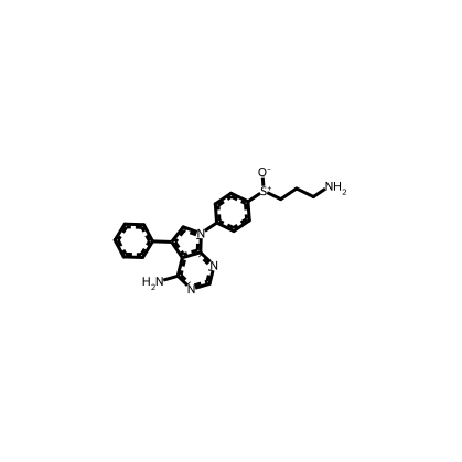 NCCC[S+]([O-])c1ccc(-n2cc(-c3ccccc3)c3c(N)ncnc32)cc1